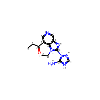 CCC(=O)c1cncc2nc(-n3ncnc3N)n(CC)c12